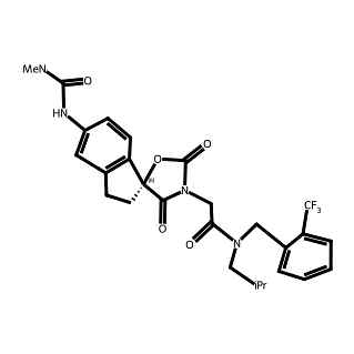 CNC(=O)Nc1ccc2c(c1)CC[C@@]21OC(=O)N(CC(=O)N(Cc2ccccc2C(F)(F)F)CC(C)C)C1=O